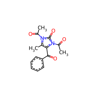 CC(=O)n1c(C)c(C(=O)c2ccccc2)n(C(C)=O)c1=O